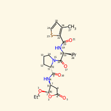 CCO[C@@H]1OC(=O)C[C@@H]1NC(=O)[C@@H]1CCCN1C(=O)[C@@H](NC(=O)c1sccc1C)C(C)C